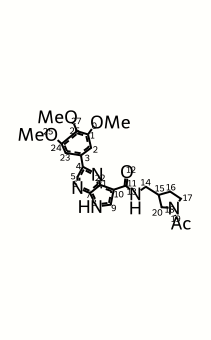 COc1cc(-c2cnc3[nH]cc(C(=O)NCC4CCN(C(C)=O)C4)c3n2)cc(OC)c1OC